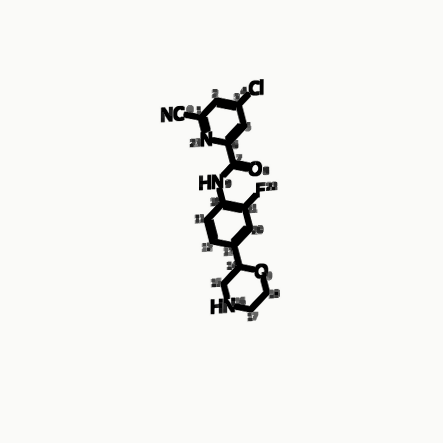 N#Cc1cc(Cl)cc(C(=O)Nc2ccc(C3CNCCO3)cc2F)n1